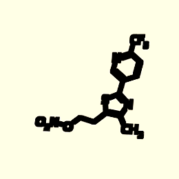 Cc1nc(-c2ccc(C(F)(F)F)nc2)sc1CCO[N+](=O)[O-]